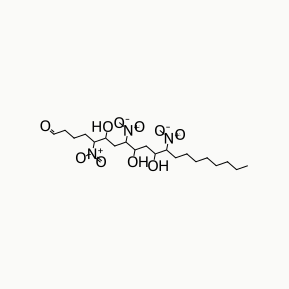 CCCCCCCCC(C(O)CC(O)C(CC(O)C(CCCC=O)[N+](=O)[O-])[N+](=O)[O-])[N+](=O)[O-]